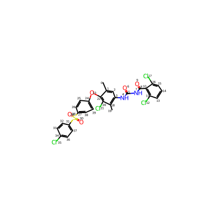 Cc1cc(NC(=O)NC(=O)c2c(Cl)cccc2Cl)c(C)c(Cl)c1Oc1ccc(S(=O)(=O)c2ccc(Cl)cc2)cc1